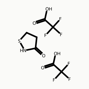 O=C(O)C(F)(F)F.O=C(O)C(F)(F)F.O=C1CCSN1